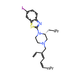 C=C/C(=C\C=C/CCC)CN1CCN(c2nc3ccc(I)cc3s2)[C@H](CC(C)C)C1